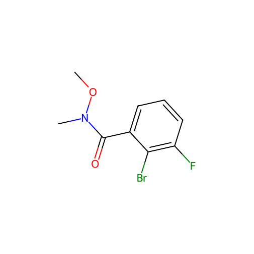 CON(C)C(=O)c1cccc(F)c1Br